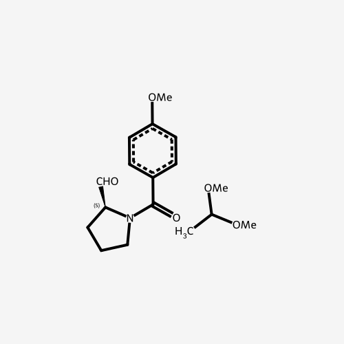 COC(C)OC.COc1ccc(C(=O)N2CCC[C@H]2C=O)cc1